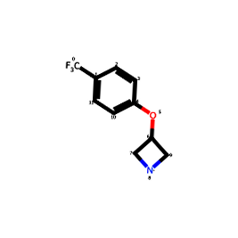 FC(F)(F)c1ccc(OC2C[N]C2)cc1